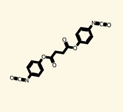 O=C=Nc1ccc(OC(=O)CCC(=O)Oc2ccc(N=C=O)cc2)cc1